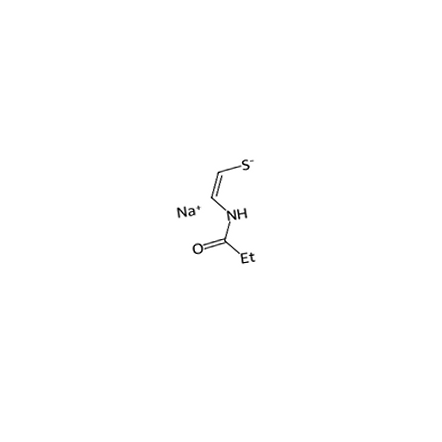 CCC(=O)N/C=C\[S-].[Na+]